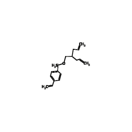 C=CCC(CC=C)CO[SiH2]c1ccc(C=C)cc1